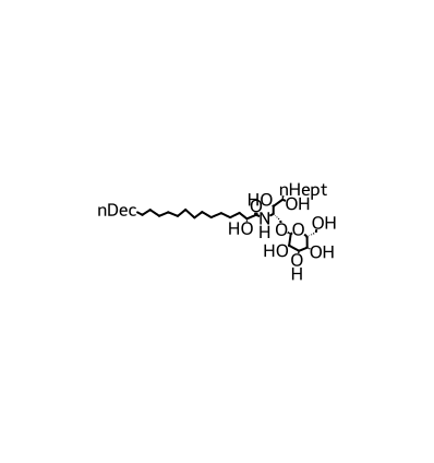 CCCCCCCCCCCCCCCCCCCCCC[C@@H](O)C(=O)N[C@@H](CO[C@H]1O[C@H](CO)[C@H](O)[C@H](O)[C@H]1O)[C@H](O)[C@H](O)CCCCCCC